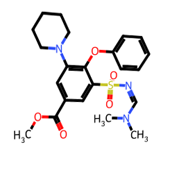 COC(=O)c1cc(N2CCCCC2)c(Oc2ccccc2)c(S(=O)(=O)/N=C\N(C)C)c1